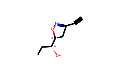 C#CC1=NO[C@H]([C@H](O)CC)C1